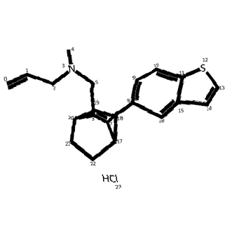 C=CCN(C)CC1=C(c2ccc3sccc3c2)C2CCC1CC2.Cl